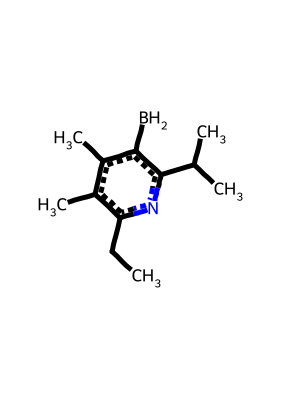 Bc1c(C(C)C)nc(CC)c(C)c1C